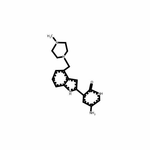 CN1CCN(Cc2cccc3[nH]c(-c4cc(N)c[nH]c4=O)cc23)CC1